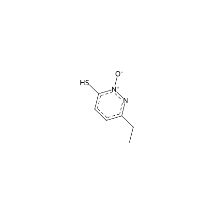 CCc1ccc(S)[n+]([O-])n1